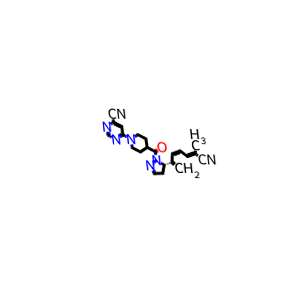 C=C(/C=C\C=C(/C)C#N)[C@@H]1CC=NN1C(=O)C1CCN(c2cc(C#N)ncn2)CC1